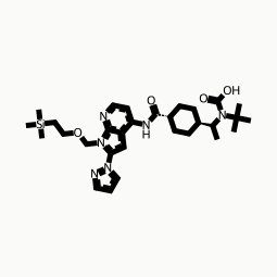 CC([C@H]1CC[C@H](C(=O)Nc2ccnc3c2cc(-n2cccn2)n3COCC[Si](C)(C)C)CC1)N(C(=O)O)C(C)(C)C